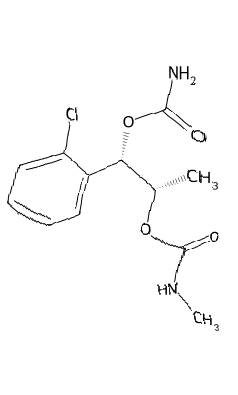 CNC(=O)O[C@@H](C)[C@@H](OC(N)=O)c1ccccc1Cl